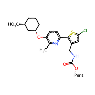 CCC[C@@H](C)OC(=O)NCc1cc(Cl)sc1-c1ccc(O[C@H]2CCC[C@H](C(=O)O)C2)c(C)n1